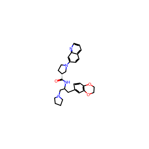 O=C(NC(Cc1ccc2c(c1)OCCO2)CN1CCCC1)[C@@H]1CCN(c2ccc3cccnc3c2)C1